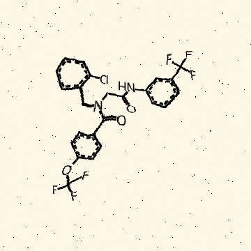 O=C(CN(Cc1ccccc1Cl)C(=O)c1ccc(OC(F)(F)F)cc1)Nc1cccc(C(F)(F)F)c1